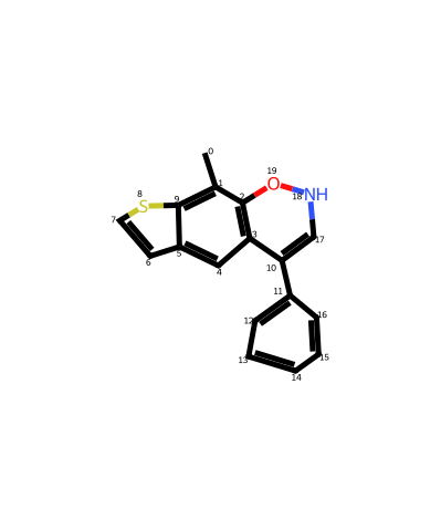 Cc1c2c(cc3ccsc13)C(c1ccccc1)=CNO2